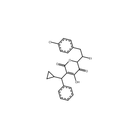 CCC(Cc1ccc(Cl)cc1)C1OC(=O)C(C(c2ccccc2)C2CC2)=C(O)C1=O